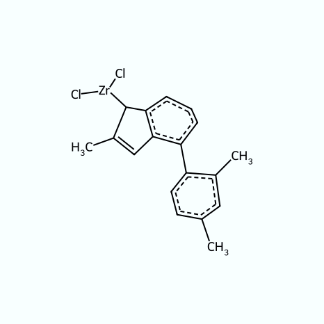 CC1=Cc2c(-c3ccc(C)cc3C)cccc2[CH]1[Zr]([Cl])[Cl]